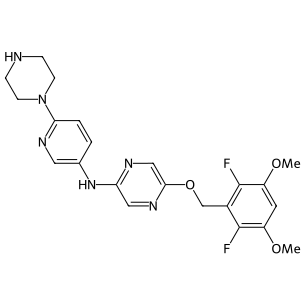 COc1cc(OC)c(F)c(COc2cnc(Nc3ccc(N4CCNCC4)nc3)cn2)c1F